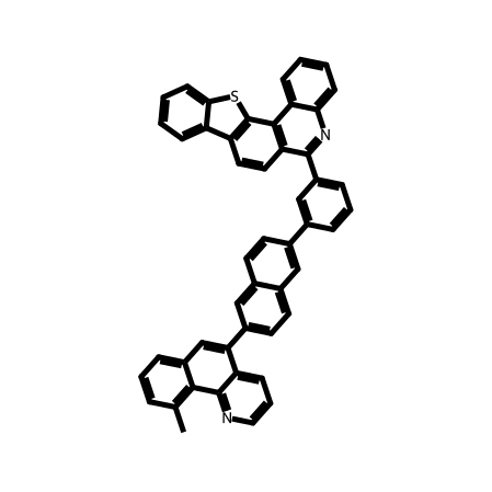 Cc1cccc2cc(-c3ccc4cc(-c5cccc(-c6nc7ccccc7c7c6ccc6c8ccccc8sc67)c5)ccc4c3)c3cccnc3c12